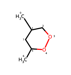 CC1COOC(C)C1